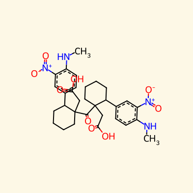 CNc1ccc(C2CCCCC2(CC(=O)O)C(=O)C2(CC(=O)O)CCCCC2c2ccc(NC)c([N+](=O)[O-])c2)cc1[N+](=O)[O-]